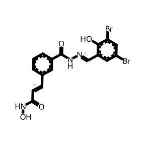 O=C(/C=C/c1cccc(C(=O)N/N=C/c2cc(Br)cc(Br)c2O)c1)NO